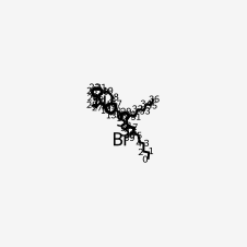 CCCCCCc1cc(-c2sc(-c3ccc4c(c3)CCc3ccccc3N4CC)cc2CCCCCC)sc1Br